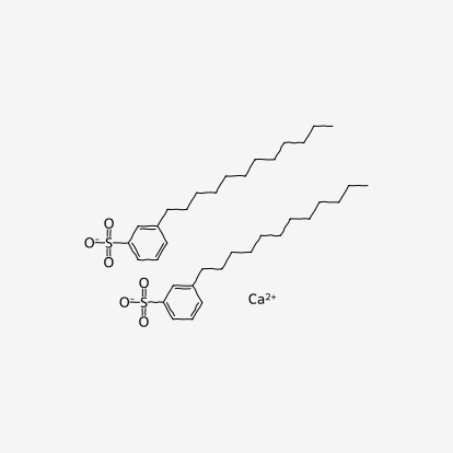 CCCCCCCCCCCCc1cccc(S(=O)(=O)[O-])c1.CCCCCCCCCCCCc1cccc(S(=O)(=O)[O-])c1.[Ca+2]